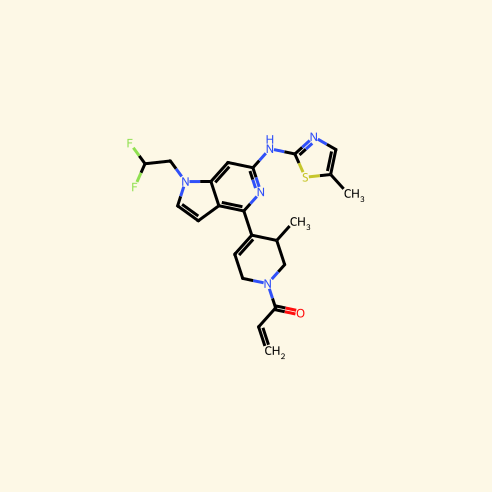 C=CC(=O)N1CC=C(c2nc(Nc3ncc(C)s3)cc3c2ccn3CC(F)F)C(C)C1